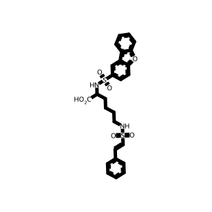 O=C(O)C(CCCCNS(=O)(=O)/C=C/c1ccccc1)NS(=O)(=O)c1ccc2oc3ccccc3c2c1